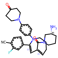 N#Cc1ccc(/C2=C/C(C(=O)N3CCC[C@@H](N)C3)=C/CCCN2c2ccc(N3CCC(=O)CC3)cc2)cc1F